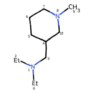 CCN(CC)CC1CCCN(C)C1